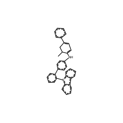 CC1CC(c2ccccc2)=CC=C1Nc1ccc(-c2ccccc2-n2c3ccccc3c3ccccc32)cc1